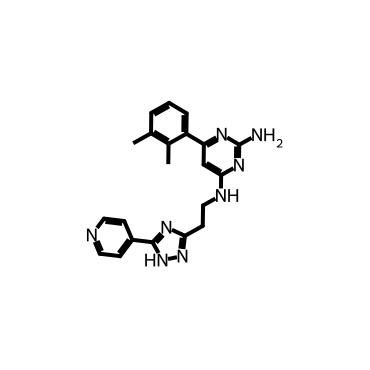 Cc1cccc(-c2cc(NCCc3n[nH]c(-c4ccncc4)n3)nc(N)n2)c1C